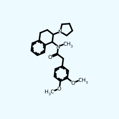 COc1ccc(CC(=O)N(C)C2c3ccccc3CCC2N2CCCC2)cc1OC